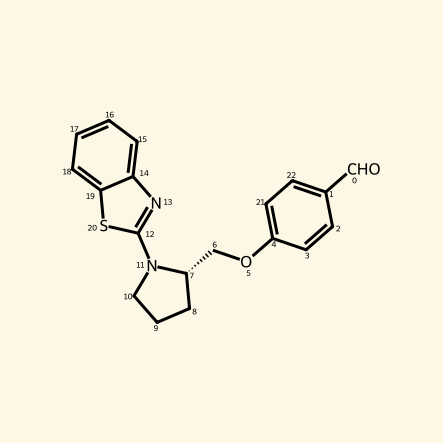 O=Cc1ccc(OC[C@@H]2CCCN2c2nc3ccccc3s2)cc1